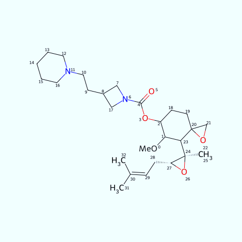 COC1C(OC(=O)N2CC(CCN3CCCCC3)C2)CCC2(CO2)C1[C@@]1(C)O[C@@H]1CC=C(C)C